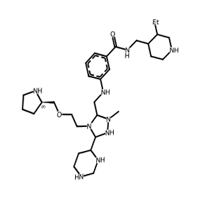 CCC1CNCCC1CNC(=O)c1cccc(NCC2N(C)NC(C3CCNCN3)N2CCOC[C@H]2CCCN2)c1